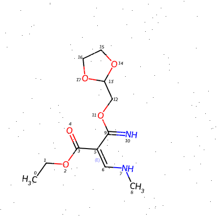 CCOC(=O)/C(=C/NC)C(=N)OCC1OCCO1